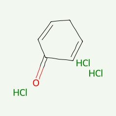 Cl.Cl.Cl.O=C1C=CCC=C1